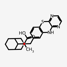 CC(C(=O)O)C1C2CCCC1CN(Cc1ccc3c(c1)Nc1nccnc1S3)C2